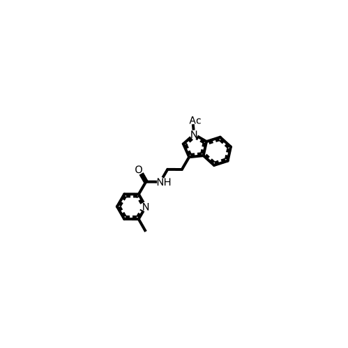 CC(=O)n1cc(CCNC(=O)c2cccc(C)n2)c2ccccc21